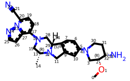 CO[C@@H]1CN(c2ccc3c(c2)CN2[C@H](C)CN(c4ccc(C#N)n5nccc45)C[C@H]32)CC[C@@H]1N